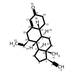 C#C[C@H]1CC[C@H]2[C@H]3[C@H](CC[C@]12C)[C@H]1CCC(=O)C=C1C[C@@H]3C=C